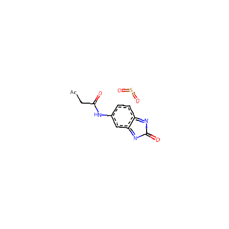 CC(=O)CC(=O)Nc1ccc2c(c1)=NC(=O)N=2.O=S=O